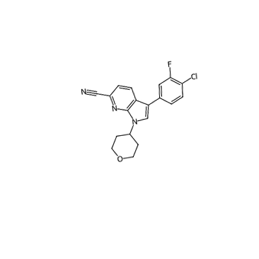 N#Cc1ccc2c(-c3ccc(Cl)c(F)c3)cn(C3CCOCC3)c2n1